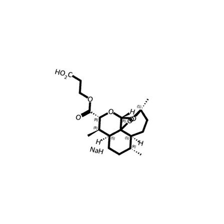 C[C@H]1[C@H](C(=O)OCCC(=O)O)O[C@@H]2O[C@]3(C)CC[C@H]4[C@H](C)CC[C@@H]1C24OO3.[NaH]